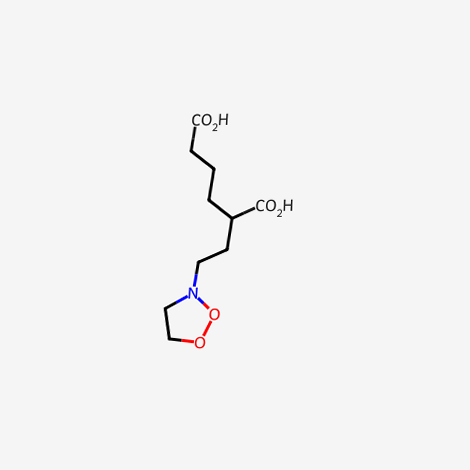 O=C(O)CCCC(CCN1CCOO1)C(=O)O